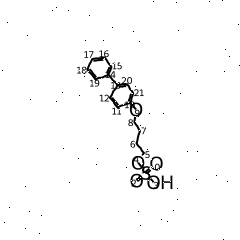 O=S(=O)(O)OCCCCOc1ccc(-c2ccccc2)cc1